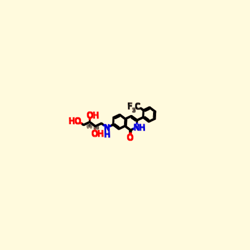 O=c1[nH]c(-c2ccccc2C(F)(F)F)cc2ccc(NC[C@H](O)[C@H](O)CO)cc12